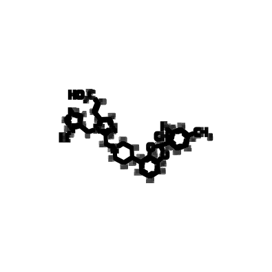 CCn1cncc1Cn1c(/C=C/C(=O)O)cnc1CN1CCC(c2cccc3c2O[C@@](C)(c2ccc(C)cc2F)O3)CC1